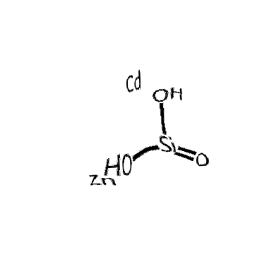 O=[Si](O)O.[Cd].[Zn]